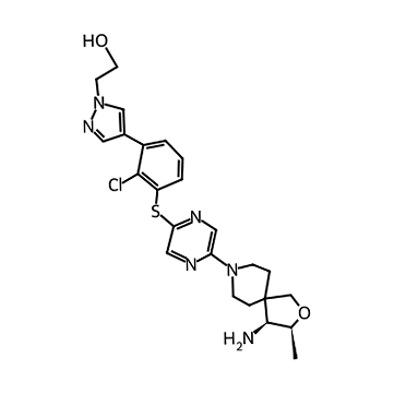 C[C@@H]1OCC2(CCN(c3cnc(Sc4cccc(-c5cnn(CCO)c5)c4Cl)cn3)CC2)[C@@H]1N